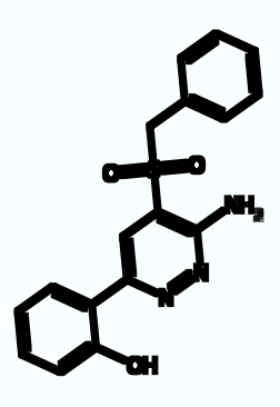 Nc1nnc(-c2ccccc2O)cc1S(=O)(=O)Cc1ccccc1